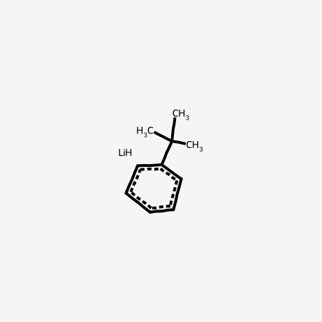 CC(C)(C)c1ccccc1.[LiH]